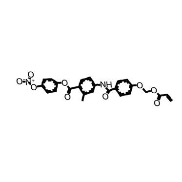 C=CC(=O)OCOc1ccc(C(=O)Nc2ccc(C(=O)Oc3ccc(O[N+](=O)[O-])cc3)c(C)c2)cc1